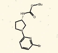 CC(C)(C)OC(=O)N[C@H]1CCN(c2cccc(Br)n2)C1